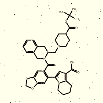 CC(C)(C)OC(=O)N1CCN(C[C@@H]2Cc3ccccc3CN2C(=O)c2cc3c(cc2-c2cc(C(=O)O)c4n2CCCC4)OCO3)CC1